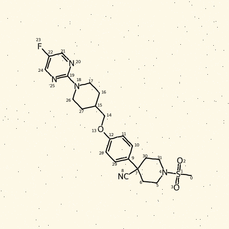 CS(=O)(=O)N1CCC(C#N)(c2ccc(OCC3CCN(c4ncc(F)cn4)CC3)cc2)CC1